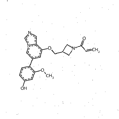 C=CC(=O)N1CC(COc2cc(-c3ccc(O)cc3OC)cn3cncc23)C1